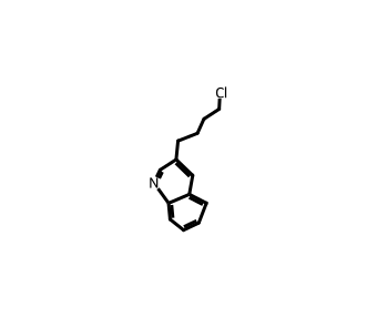 ClCCCCc1cnc2ccccc2c1